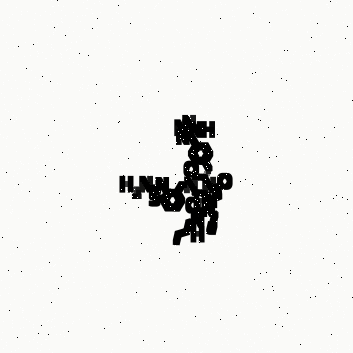 C#CCN(C(=O)NCCCC)N1CC(=O)N2[C@@H](Cc3ccc(-c4nnn[nH]4)cc3)C(=O)N(Cc3cccc4sc(N)nc34)C[C@@H]21